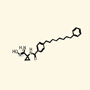 N/C(=N\O)C1(NC(=O)c2ccc(CCCCCCCCc3ccccc3)cc2)CC1